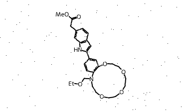 CCOCN1CCOCCOCCOCCOc2cc(-c3cc4ccc(CC(=O)OC)cc4[nH]3)ccc21